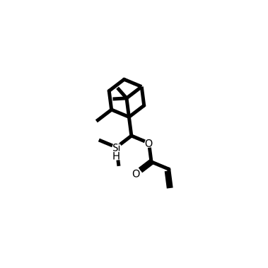 C=CC(=O)OC([SiH](C)C)C12CC(CCC1C)C2(C)C